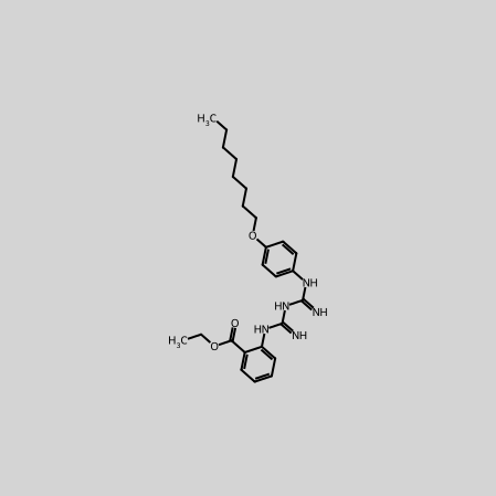 CCCCCCCCOc1ccc(NC(=N)NC(=N)Nc2ccccc2C(=O)OCC)cc1